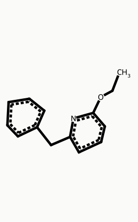 CCOc1cccc(Cc2ccccc2)n1